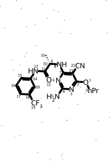 CCCOc1nc(N)nc(N[C@@H](C)C(=O)Nc2cccc(C(F)(F)F)c2)c1C#N